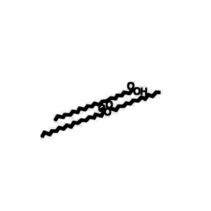 CCCCCCCCCCCCCCCCCC(=O)OC(=O)CCCCCCCCCCCCC.CCCCCCCCCCCCCCCCCCCCCC(=O)O